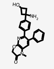 CN1C(=O)COc2nc(-c3ccc(C4(N)CC(O)C4)cc3)c(-c3ccccc3)cc21